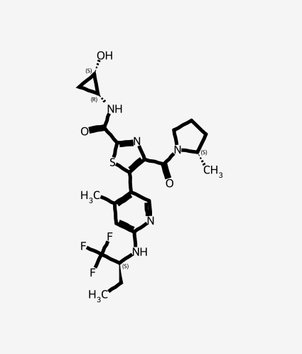 CC[C@H](Nc1cc(C)c(-c2sc(C(=O)N[C@@H]3C[C@@H]3O)nc2C(=O)N2CCC[C@@H]2C)cn1)C(F)(F)F